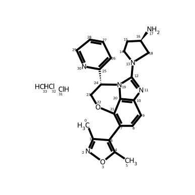 Cc1noc(C)c1-c1ccc2nc(N3CC[C@@H](N)C3)n3c2c1OC[C@@H]3c1ccccn1.Cl.Cl.Cl